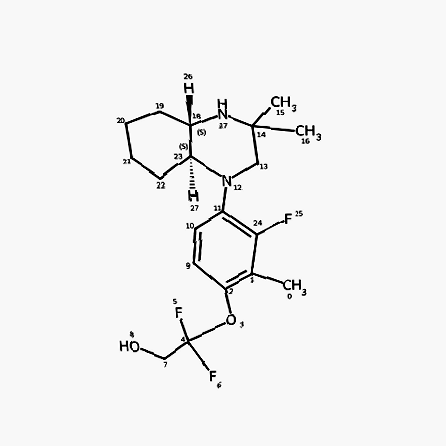 Cc1c(OC(F)(F)CO)ccc(N2CC(C)(C)N[C@H]3CCCC[C@@H]32)c1F